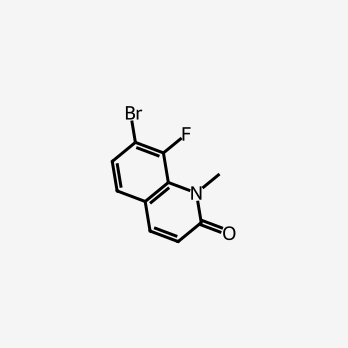 Cn1c(=O)ccc2ccc(Br)c(F)c21